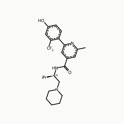 Cc1cc(C(=O)N[C@@H](CN2CCCCC2)C(C)C)cc(-c2ccc(O)cc2C(F)(F)F)n1